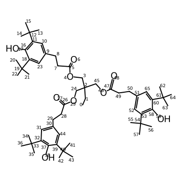 CCC(COC(=O)CCc1cc(C(C)(C)C)c(O)c(C(C)(C)C)c1)(COC(=O)CCc1cc(C(C)(C)C)c(O)c(C(C)(C)C)c1)COC(=O)CCc1cc(C(C)(C)C)c(O)c(C(C)(C)C)c1